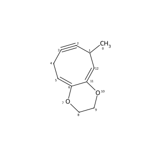 CC1C#CC/C=C2/OCCO/C2=C/1